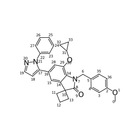 COc1ccc(CN2C(=O)C3(CCC3)c3cc(-c4ccnn4-c4ccccc4)cc(OC4CC4)c32)cc1